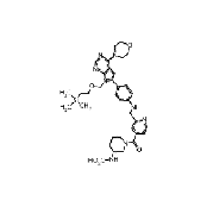 C[Si](C)(C)CCOCn1c(-c2ccc(NCc3cc(C(=O)N4CCCC(NC(=O)O)C4)ccn3)cc2)cc2c(N3CCOCC3)ncnc21